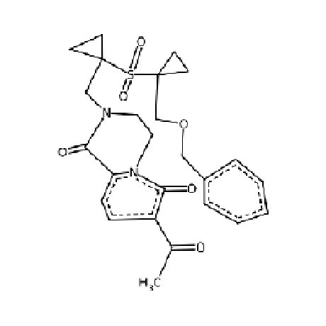 CC(=O)c1ccc2n(c1=O)CCN(CC1(S(=O)(=O)C3(COCc4ccccc4)CC3)CC1)C2=O